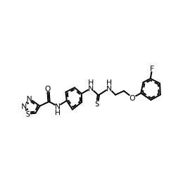 O=C(Nc1ccc(NC(=S)NCCOc2cccc(F)c2)cc1)c1csnn1